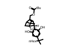 CCCCCCC(C)(C)c1cc(O)c([C@H]2C=C(COC(=O)C(C)(C)C)C3C[C@@H]2C3(C)C)c(O)c1